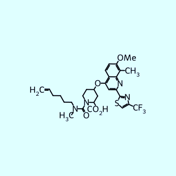 C=CCCCCN(C)C(=O)N1CCC(Oc2cc(-c3nc(C(F)(F)F)cs3)nc3c(C)c(OC)ccc23)CC1C(=O)O